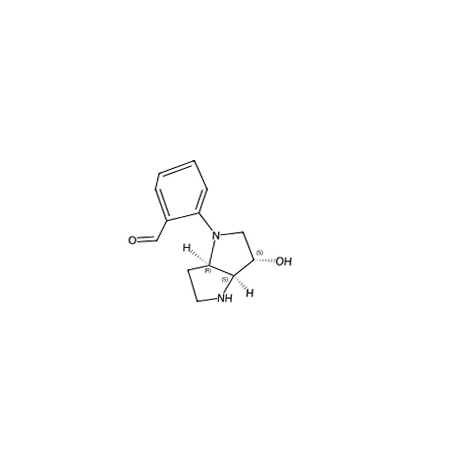 O=Cc1ccccc1N1C[C@H](O)[C@H]2NCC[C@H]21